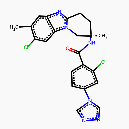 Cc1cc2nc3n(c2cc1Cl)C[C@](C)(NC(=O)c1ccc(-n2cnnc2)cc1Cl)CC3